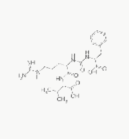 CC(C)[C@H](NC(=O)[C@H](CCCNC(=N)N)NC(=O)N[C@@H](Cc1ccccc1)C(=O)O)C(=O)O